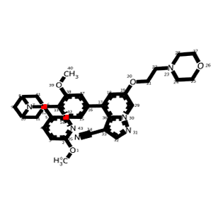 COc1ccc(CN2C3CC2CN(c2ncc(-c4cc(OCCN5CCOCC5)cn5ncc(C#N)c45)cc2OC)C3)cn1